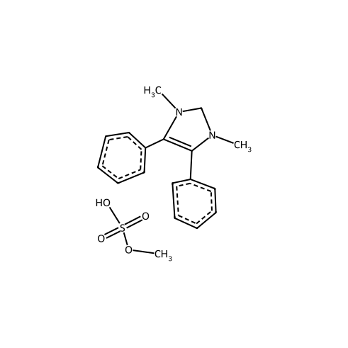 CN1CN(C)C(c2ccccc2)=C1c1ccccc1.COS(=O)(=O)O